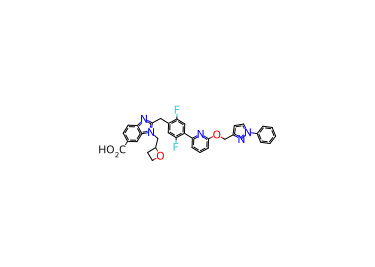 O=C(O)c1ccc2nc(Cc3cc(F)c(-c4cccc(OCc5ccn(-c6ccccc6)n5)n4)cc3F)n(CC3CCO3)c2c1